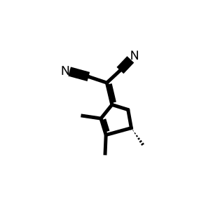 CC1=C(C)[C@@H](C)CC1=C(C#N)C#N